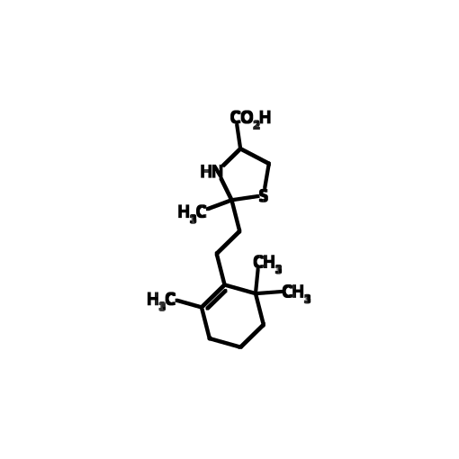 CC1=C(CCC2(C)NC(C(=O)O)CS2)C(C)(C)CCC1